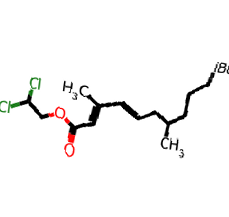 CCC(C)CCCC(C)CC=CC(C)=CC(=O)OCC(Cl)Cl